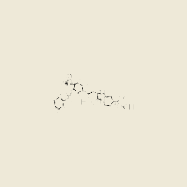 COC(=O)c1ccn2c(C)c(/C=C/c3ccc([N+](=O)[O-])c(OCc4ccccc4)c3)nc2c1